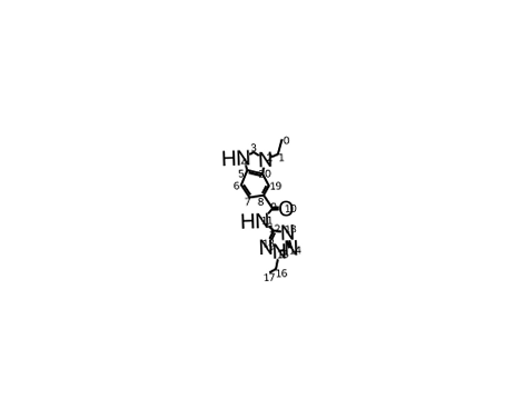 CCN1CNc2ccc(C(=O)Nc3nnn(CC)n3)cc21